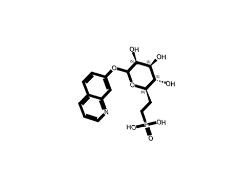 O=P(O)(O)CC[C@H]1OC(Oc2ccc3cccnc3c2)[C@@H](O)[C@@H](O)[C@@H]1O